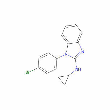 Brc1ccc(-n2c(NC3CC3)nc3ccccc32)cc1